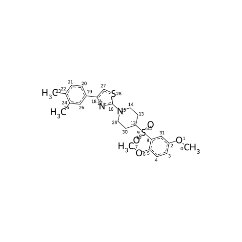 COc1ccc(OC)c(S(=O)(=O)C2CCN(c3nc(-c4ccc(C)c(C)c4)cs3)CC2)c1